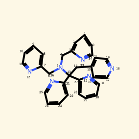 c1ccc(CN(Cc2ccccn2)C(Cc2ccncc2)(c2ccccn2)c2ccccn2)nc1